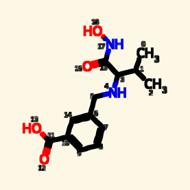 CC(C)C(NCc1cccc(C(=O)O)c1)C(=O)NO